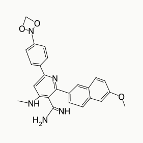 CNc1cc(-c2ccc(N3OCO3)cc2)nc(-c2ccc3cc(OC)ccc3c2)c1C(=N)N